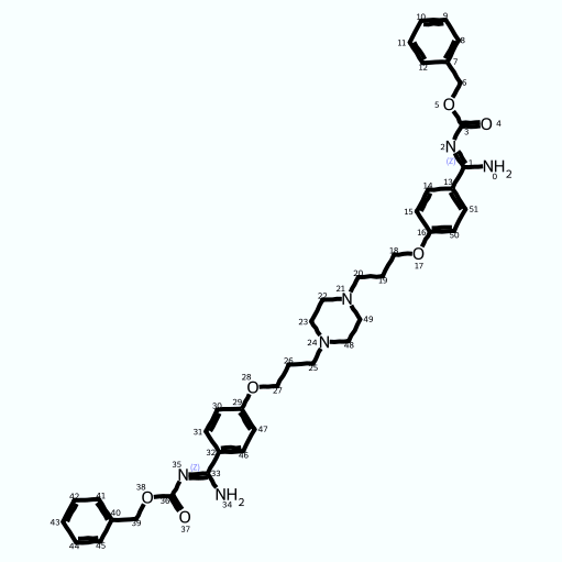 N/C(=N\C(=O)OCc1ccccc1)c1ccc(OCCCN2CCN(CCCOc3ccc(/C(N)=N/C(=O)OCc4ccccc4)cc3)CC2)cc1